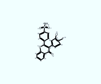 NS(=O)(=O)c1ccc(-c2oc3ccccc3c(=O)c2-c2ccc(F)c(Cl)c2)cc1